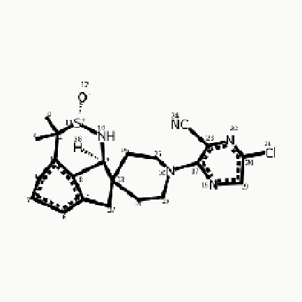 CC1(C)c2cccc3c2[C@@H](N[S@@+]1[O-])C1(CCN(c2ncc(Cl)nc2C#N)CC1)C3